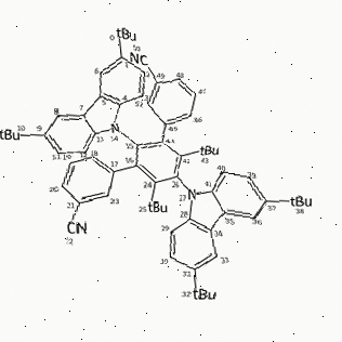 CC(C)(C)c1ccc2c(c1)c1cc(C(C)(C)C)ccc1n2-c1c(-c2cccc(C#N)c2)c(C(C)(C)C)c(-n2c3ccc(C(C)(C)C)cc3c3cc(C(C)(C)C)ccc32)c(C(C)(C)C)c1-c1cccc(C#N)c1